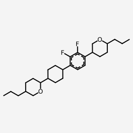 CCCC1CCC(C2CCC(c3ccc(C4CCC(CCC)OC4)c(F)c3F)CC2)OC1